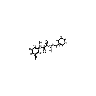 O=C(NCCC1=CCCCC1)C(=O)Nc1cccc(F)c1